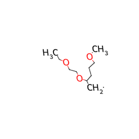 [CH2]C(CCCOC)OCCOCC